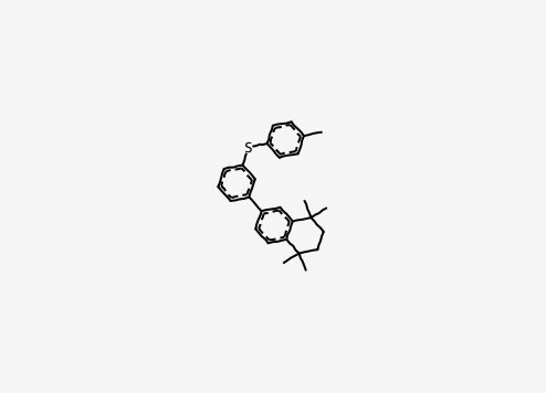 Cc1ccc(Sc2cccc(-c3ccc4c(c3)C(C)(C)CCC4(C)C)c2)cc1